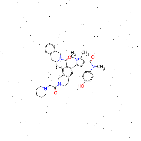 Cc1c(C(=O)N(C)c2ccc(O)cc2)cc(-c2cc3c(cc2C(=O)N2Cc4ccccc4C[C@H]2C)CN(C(=O)CN2CCCCC2)CC3)n1C